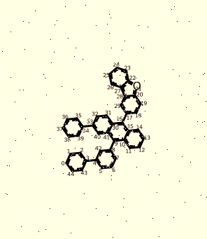 c1ccc(-c2cccc(-c3c4ccccc4c(-c4ccc5oc6ccccc6c5c4)c4ccc(-c5ccccc5)cc34)c2)cc1